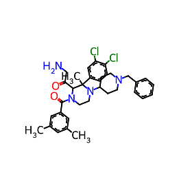 Cc1cc(C)cc(C(=O)N2CCN(C3CCN(Cc4ccccc4)CC3)C(C)(c3ccc(Cl)c(Cl)c3)C2C(=O)CN)c1